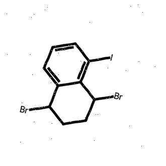 BrC1CCC(Br)c2c(I)cccc21